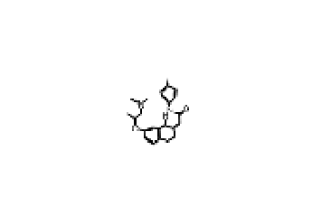 Cc1ccc(N2N=C3c4cc(OC(C)CN(C)C)ccc4CCC3CC2=O)cc1